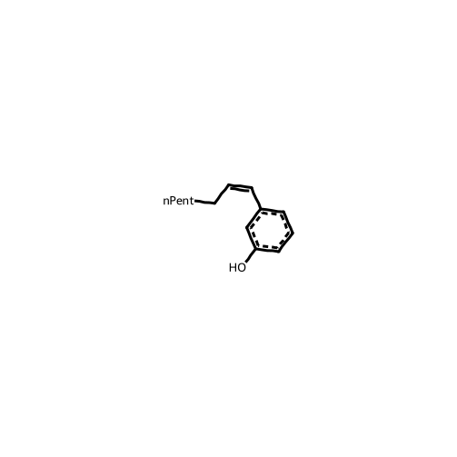 CCCCCC/C=C\c1cccc(O)c1